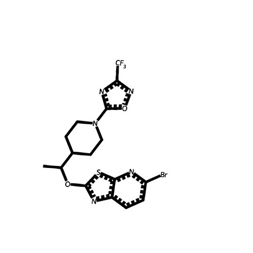 CC(Oc1nc2ccc(Br)nc2s1)C1CCN(c2nc(C(F)(F)F)no2)CC1